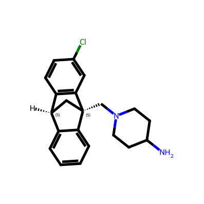 NC1CCN(C[C@@]23C[C@@H](c4ccccc42)c2ccc(Cl)cc23)CC1